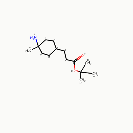 CC1(N)CCC(CCC(=O)OC(C)(C)C)CC1